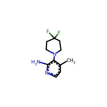 Cc1ccnc(N)c1N1CCC(F)(F)CC1